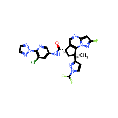 C[C@]1(c2ccn(C(F)F)n2)C[C@H](C(=O)Nc2cnc(-n3nccn3)c(Cl)c2)c2cnc3cc(F)nn3c21